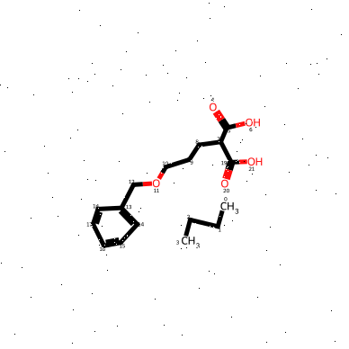 CCCC.O=C(O)C(CCCOCc1ccccc1)C(=O)O